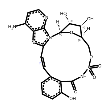 Nc1ccnc2c1nc1n2[C@@H]2O[C@H](COS(=O)(=O)NC(=O)c3c(O)cccc3/C=C\1)[C@@H](O)[C@H]2O